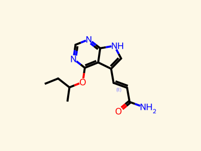 CCC(C)Oc1ncnc2[nH]cc(/C=C/C(N)=O)c12